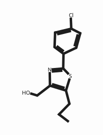 CCCc1sc(-c2ccc(Cl)cc2)nc1CO